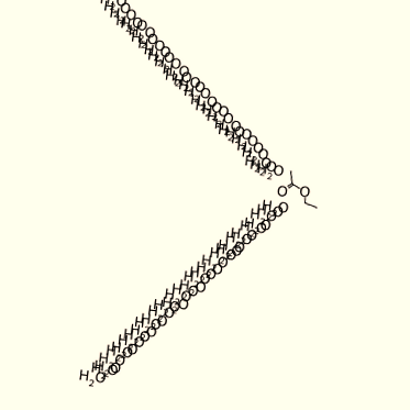 CCOC(C)=O.O.O.O.O.O.O.O.O.O.O.O.O.O.O.O.O.O.O.O.O.O.O.O.O.O.O.O.O.O.O.O.O.O.O.O.O.O.O.O.O.O.O.O.O.O.O.O.O.O.O.O.O.O.O.O.O.O.O.O.O